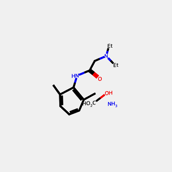 CCN(CC)CC(=O)Nc1c(C)cccc1C.N.O=C(O)O